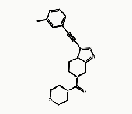 Cc1cccc(C#Cc2nnc3n2CCN(C(=O)N2CCOCC2)C3)c1